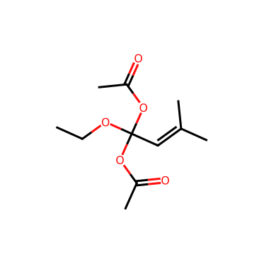 CCOC(C=C(C)C)(OC(C)=O)OC(C)=O